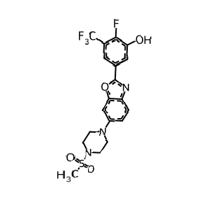 CS(=O)(=O)N1CCN(c2ccc3nc(-c4cc(O)c(F)c(C(F)(F)F)c4)oc3c2)CC1